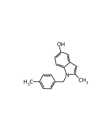 Cc1ccc(Cn2c(C)[c]c3cc(O)ccc32)cc1